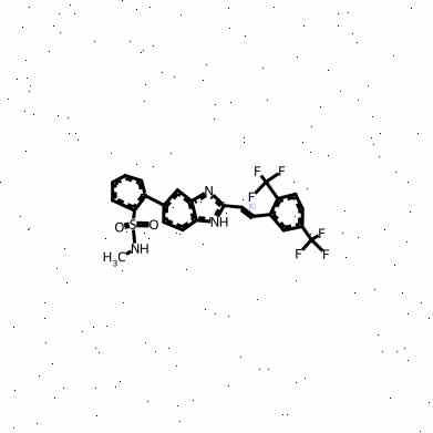 CNS(=O)(=O)c1ccccc1-c1ccc2[nH]c(/C=C/c3cc(C(F)(F)F)ccc3C(F)(F)F)nc2c1